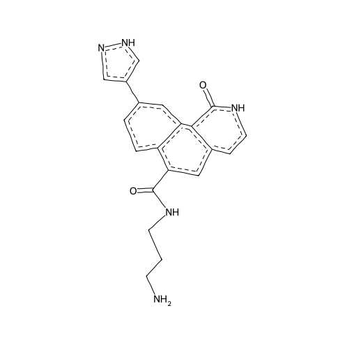 NCCCNC(=O)c1cc2cc[nH]c(=O)c2c2cc(-c3cn[nH]c3)ccc12